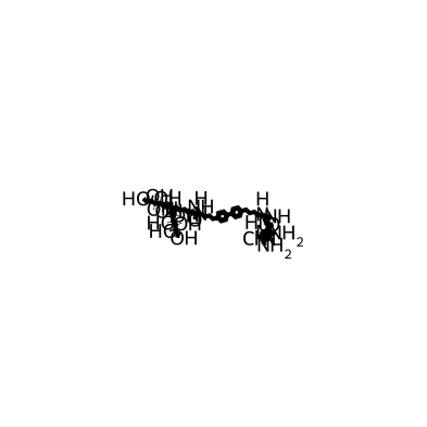 N=C(NCCCCc1ccc(-c2ccc(CCCNC(=O)[C@@H](N)CCCCN(C[C@H](O)[C@@H](O)[C@H](O)[C@H](O)CO)C[C@H](O)[C@@H](O)[C@H](O)[C@H](O)CO)cc2)cc1)NC(=O)c1nc(Cl)c(N)nc1N